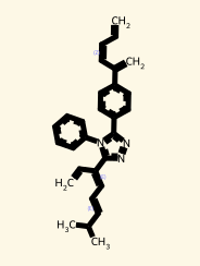 C=C/C=C\C(=C)c1ccc(-c2nnc(/C(C=C)=C/C=C/C(C)C)n2-c2ccccc2)cc1